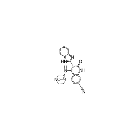 N#Cc1ccc2c(NC3CN4CCC3CC4)c(-c3nc4ccccc4[nH]3)c(=O)[nH]c2c1